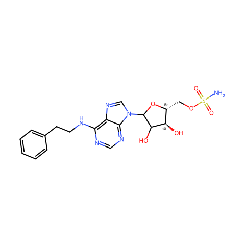 NS(=O)(=O)OC[C@H]1OC(n2cnc3c(NCCc4ccccc4)ncnc32)C(O)[C@@H]1O